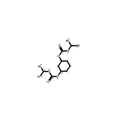 CC(C)C(OC(=O)OC1CCCC(OC(=O)OC(C(C)C)C(C)C)C1)C(C)C